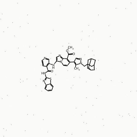 COC(=O)c1c(-c2cnn(CC34CC5CC(CC(C5)C3)C4)c2C)ccn2c(Nc3cnccc3C(=O)Nc3nc4ccccc4s3)cnc12